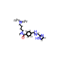 CCCN(CCC)CCCCN(C)C(=O)c1ccc(CNCc2ncc[nH]2)cc1